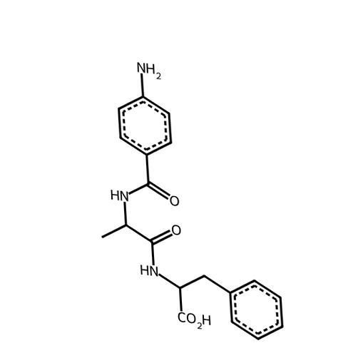 CC(NC(=O)c1ccc(N)cc1)C(=O)NC(Cc1ccccc1)C(=O)O